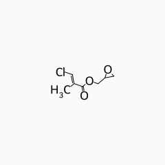 CC(=CCl)C(=O)OCC1CO1